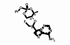 CC(C)OP1(=O)OC[C@@H](O[C@H](CF)c2cnc3c(N)ncnn23)[C@H](C)O1